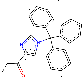 CCC(=O)c1cn(C(c2ccccc2)(c2ccccc2)c2ccccc2)cn1